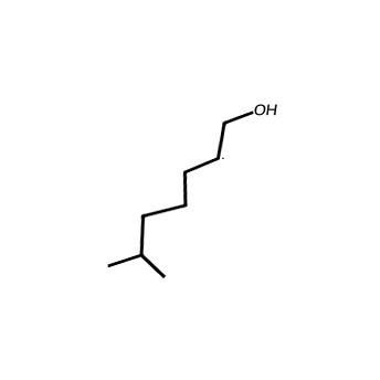 CC(C)CCC[CH]CO